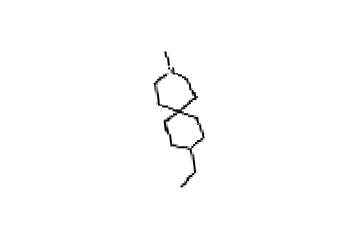 CCC1CCC2(CC1)CCN(C)CC2